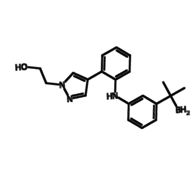 BC(C)(C)c1cccc(Nc2ccccc2-c2cnn(CCO)c2)c1